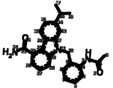 CC(=O)Nc1ccccc1Cn1c2cc(C(C)C)c[c]c2c2c(C(N)=O)cccc21